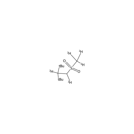 [2H]C(C([2H])(C(C)(C)C)C(C)(C)C)S(=O)(=O)C([2H])([2H])[2H]